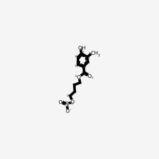 Cc1cc(C(=O)OCCCCO[N+](=O)[O-])ccc1O